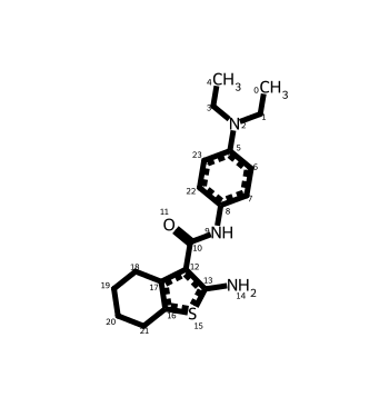 CCN(CC)c1ccc(NC(=O)c2c(N)sc3c2CCCC3)cc1